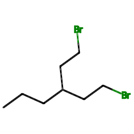 CCCC(CCBr)CCBr